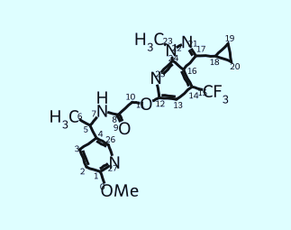 COc1ccc(C(C)NC(=O)COc2cc(C(F)(F)F)c3c(C4CC4)nn(C)c3n2)cn1